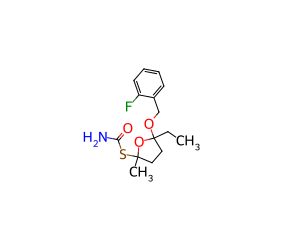 CCC1(OCc2ccccc2F)CCC(C)(SC(N)=O)O1